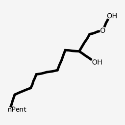 CCCCCCCCCCC(O)COO